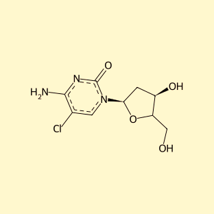 Nc1nc(=O)n([C@H]2C[C@@H](O)C(CO)O2)cc1Cl